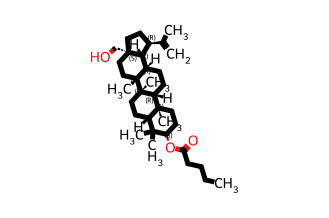 C=C(C)[C@@H]1CC[C@]2(CO)CC[C@]3(C)[C@H](CC[C@@H]4[C@@]5(C)CC[C@H](OC(=O)CCCC)C(C)(C)[C@@H]5CC[C@]43C)[C@@H]12